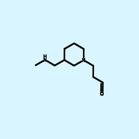 CNCC1CCCN(CCC=O)C1